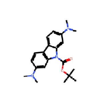 CN(C)c1ccc2c3ccc(N(C)C)cc3n(C(=O)OC(C)(C)C)c2c1